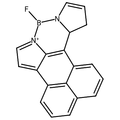 FB1N2C=CCC2c2c3c(c4cccc5cccc2c54)=CC=[N+]13